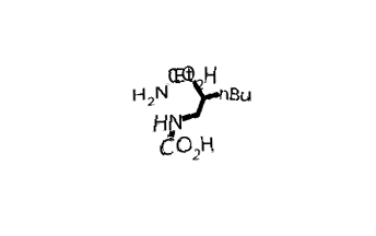 CCCCC(CC)CNC(=O)O.NC(=O)O